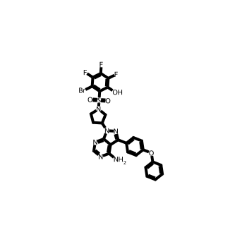 Nc1ncnc2c1c(-c1ccc(Oc3ccccc3)cc1)nn2C1CCN(S(=O)(=O)c2c(O)c(F)c(F)c(F)c2Br)C1